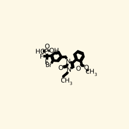 CCCn1cc(-c2ccccc2C(=O)OC)n(Cc2ccc(C(F)(F)P(=O)(O)O)c(Br)c2)c1=O